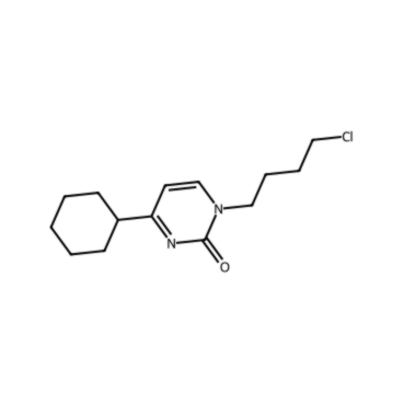 O=c1nc(C2CCCCC2)ccn1CCCCCl